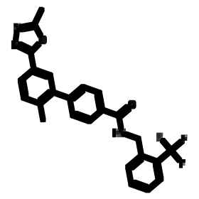 Cc1nnc(-c2ccc(C)c(-c3ccc(C(=O)NCc4ccccc4C(F)(F)F)cc3)c2)o1